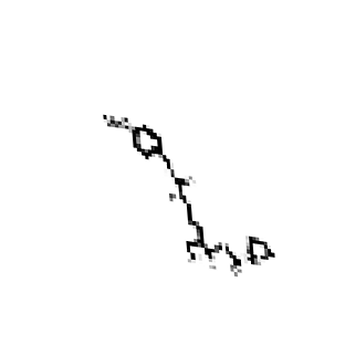 COc1ccc(COC(=O)NCCCC(CS)C(=O)OC(=O)[C@@H]2CCCN2)cc1